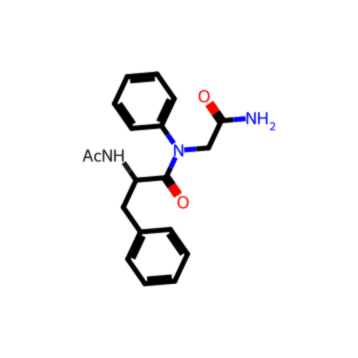 CC(=O)NC(Cc1ccccc1)C(=O)N(CC(N)=O)c1ccccc1